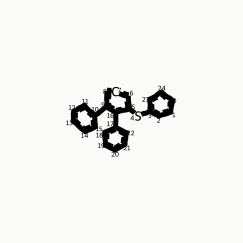 c1ccc(Sc2cccc(-c3ccccc3)c2-c2ccccc2)cc1